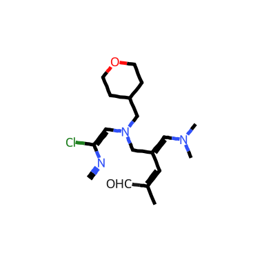 C=N/C(Cl)=C\N(CC(/C=C(/C)C=O)=C/N(C)C)CC1CCOCC1